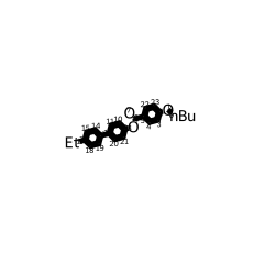 CCCCOc1ccc(C(=O)Oc2ccc(-c3ccc(CC)cc3)cc2)cc1